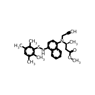 C#CCN(c1ccc(NSc2c(C)c(C)cc(C)c2C)c2ccccc12)[C@@H](C)CC(=O)OC